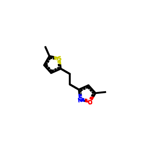 Cc1cc(CCc2ccc(C)s2)no1